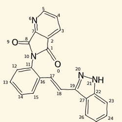 O=C1c2cccnc2C(=O)N1c1ccccc1C=Cc1n[nH]c2ccccc12